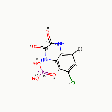 CCc1cc(Cl)cc2[nH]c(=O)c(=O)[nH]c12.O=[PH](O)O